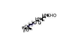 C=C(CCNC=O)NC(=O)CO/C=C/C=C1/OC(F)(F)OC1=C